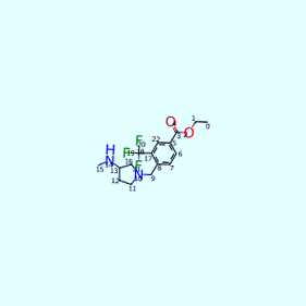 CCOC(=O)c1ccc(CN2CCC(NC)C2)c(C(F)(F)F)c1